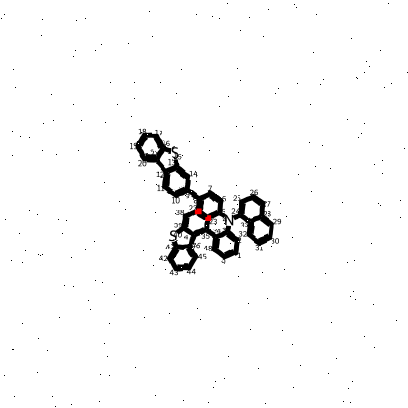 c1ccc(N(c2ccc(-c3ccc4c(c3)sc3ccccc34)cc2)c2cccc3ccccc23)c(-c2cccc3sc4ccccc4c23)c1